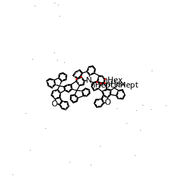 CCCCCCCC1(CCCCCCC)c2ccccc2-c2c1c1c(c3c2oc2ccccc23)-c2ccc(N(c3ccc4c(c3)C3(c5ccccc5-c5ccccc53)c3cc5c(cc3-4)C3(c4ccccc4-c4ccccc43)c3ccc4oc6ccccc6c4c3-5)c3c(-c4ccccc4)cccc3-c3ccccc3)cc2C1(CCCCCC)CCCCCC